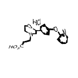 Cl.O=C(O)CCN1CCOC(c2ccc(Oc3ccccn3)cc2)C1